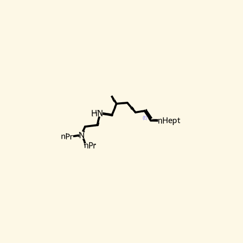 CCCCCCC/C=C/CCC(C)CNCCN(CCC)CCC